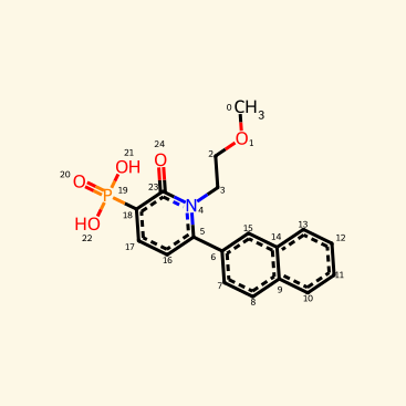 COCCn1c(-c2ccc3ccccc3c2)ccc(P(=O)(O)O)c1=O